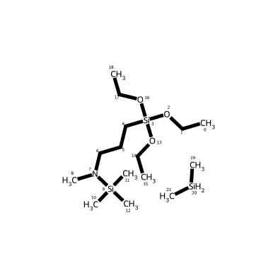 CCO[Si](CCCN(C)[Si](C)(C)C)(OCC)OCC.C[SiH2]C